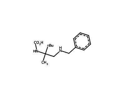 CCCCC(C)(CNCc1ccccc1)NC(=O)O